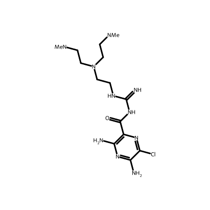 CNCCN(CCNC)CCNC(=N)NC(=O)c1nc(Cl)c(N)nc1N